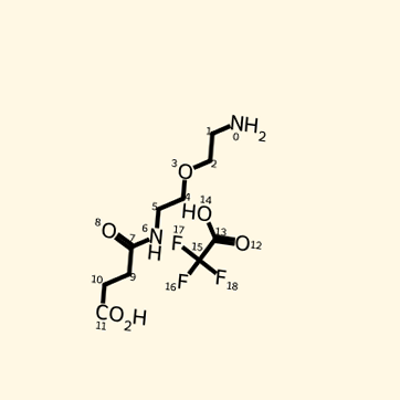 NCCOCCNC(=O)CCC(=O)O.O=C(O)C(F)(F)F